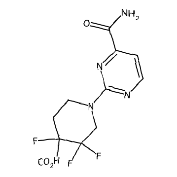 NC(=O)c1ccnc(N2CCC(F)(C(=O)O)C(F)(F)C2)n1